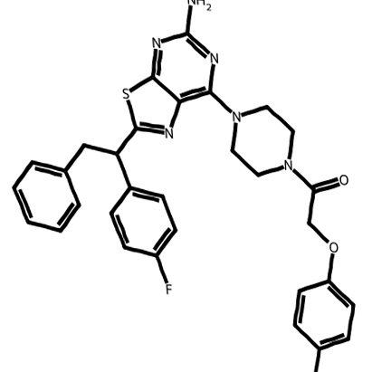 Nc1nc(N2CCN(C(=O)COc3ccc(Cl)cc3)CC2)c2nc(C(Cc3ccccc3)c3ccc(F)cc3)sc2n1